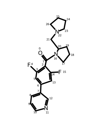 O=C(c1c(F)cc(-c2cccnc2)cc1F)N1CCCC1CN1CCCC1